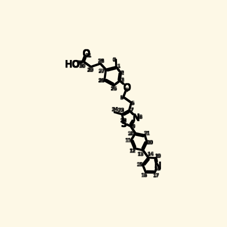 Cc1cc(OCCc2nc(-c3ccc(-c4cccnc4)cc3)sc2C)ccc1CCC(=O)O